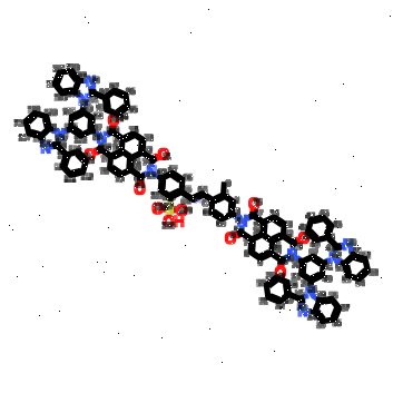 Cc1cc(N2C(=O)c3ccc4c5c(ccc(c35)C2=O)C(=O)N(c2cc(-n3c(-c5ccccc5)nc5ccccc53)cc(-n3c(-c5ccccc5)nc5ccccc53)c2)C4=O)ccc1/C=C/c1ccc(N2C(=O)c3ccc4c5c(ccc(c35)C2=O)C(=O)N(c2cc(-n3c(-c5ccccc5)nc5ccccc53)cc(-n3c(-c5ccccc5)nc5ccccc53)c2)C4=O)cc1S(=O)(=O)O